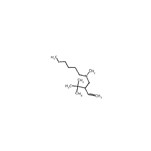 C=CC(CN(C)CCCCCC)C(C)(C)C